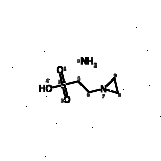 N.O=S(=O)(O)CCN1CC1